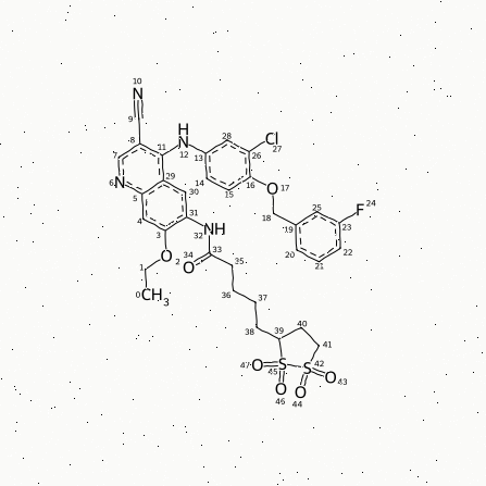 CCOc1cc2ncc(C#N)c(Nc3ccc(OCc4cccc(F)c4)c(Cl)c3)c2cc1NC(=O)CCCCC1CCS(=O)(=O)S1(=O)=O